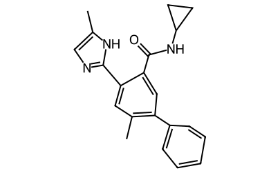 Cc1cnc(-c2cc(C)c(-c3ccccc3)cc2C(=O)NC2CC2)[nH]1